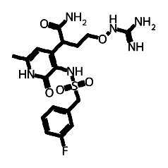 Cc1cc(C(CCONC(=N)N)C(N)=O)c(NS(=O)(=O)Cc2cccc(F)c2)c(=O)[nH]1